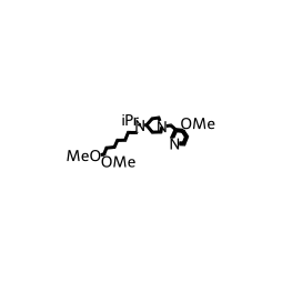 COc1ccncc1CN1CCC(N(CCCCCCC(OC)OC)C(C)C)CC1